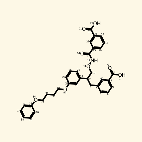 O=C(O)c1cccc(CC(CONC(=O)c2cccc(C(=O)O)c2)c2cccc(OCCCCOc3ccccc3)c2)c1